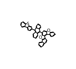 c1ccc2c(c1)ccc1c2oc2c(-c3c4ccccc4c(-c4ccc5c(c4)sc4ccccc45)c4ccccc34)cc3oc4ccccc4c3c21